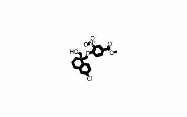 COC(=O)c1ccc(OCC2(CO)CCCc3cc(Cl)ccc32)c([N+](=O)[O-])c1